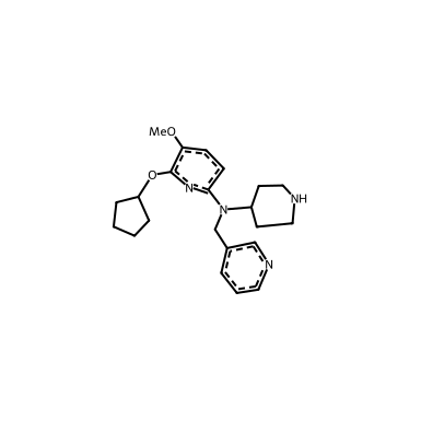 COc1ccc(N(Cc2cccnc2)C2CCNCC2)nc1OC1CCCC1